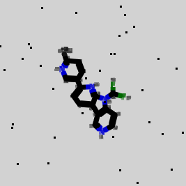 CC(C)(C)c1ccc(-c2ccc3c4cnccc4n(C(F)F)c3n2)cn1